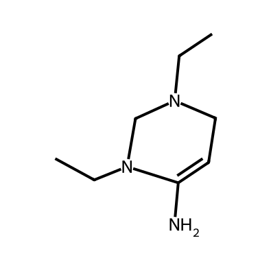 CCN1CC=C(N)N(CC)C1